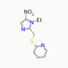 CCn1c([N+](=O)[O-])cnc1CSc1ccccn1